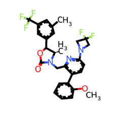 COc1ccccc1-c1ccc(N2CC(F)(F)C2)nc1CN1C(=O)OC(c2cc(C)cc(C(F)(F)F)c2)[C@@H]1C